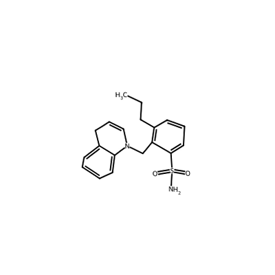 CCCc1cccc(S(N)(=O)=O)c1CN1C=CCc2ccccc21